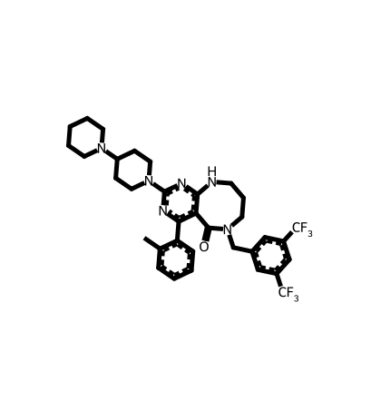 Cc1ccccc1-c1nc(N2CCC(N3CCCCC3)CC2)nc2c1C(=O)N(Cc1cc(C(F)(F)F)cc(C(F)(F)F)c1)CCCN2